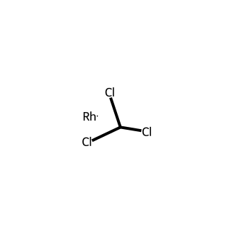 ClC(Cl)Cl.[Rh]